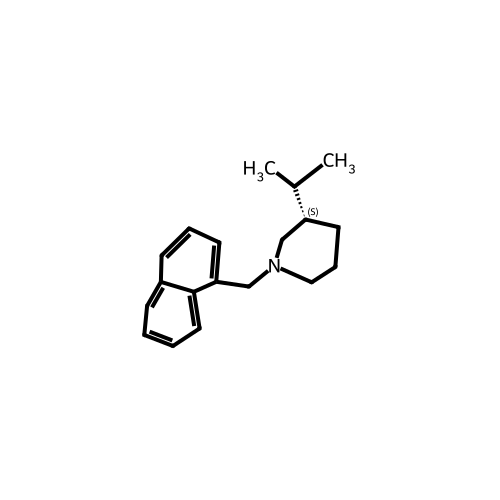 CC(C)[C@@H]1CCCN(Cc2cccc3ccccc23)C1